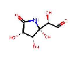 O=C[C@H](O)[C@]1(O)NC(=O)[C@@H](O)[C@H]1O